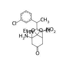 CCOC1(OCC)C2CC(=O)CC1(N)NC(C(C)c1cccc(Cl)c1)=C2[N+](=O)[O-]